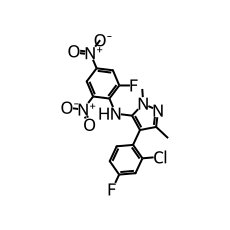 Cc1nn(C)c(Nc2c(F)cc([N+](=O)[O-])cc2[N+](=O)[O-])c1-c1ccc(F)cc1Cl